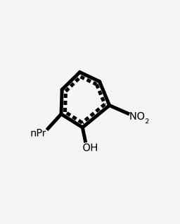 CCCc1cccc([N+](=O)[O-])c1O